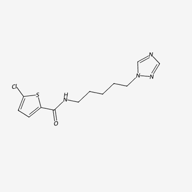 O=C(NCCCCCn1cncn1)c1ccc(Cl)s1